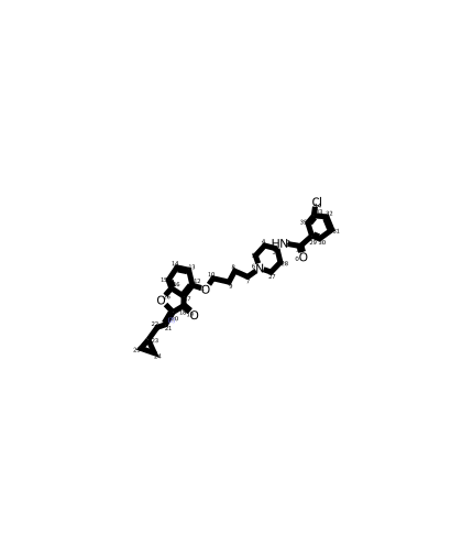 O=C(NC1CCN(CCCCOc2cccc3c2C(=O)/C(=C/CC2CC2)O3)CC1)c1cccc(Cl)c1